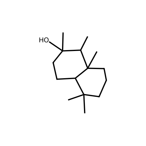 CC1C(C)(O)CCC2C(C)(C)CCCC21C